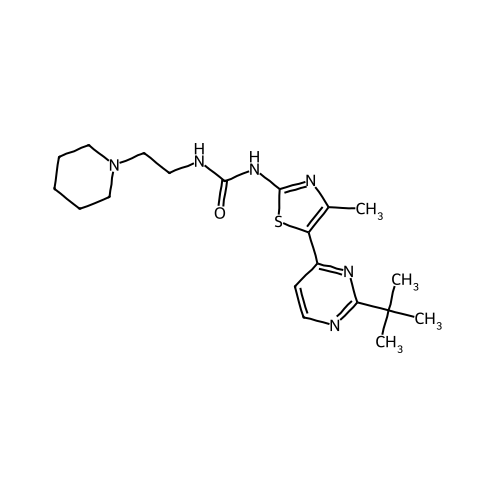 Cc1nc(NC(=O)NCCN2CCCCC2)sc1-c1ccnc(C(C)(C)C)n1